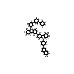 c1ccc(-c2cccc(-c3cccc(-n4c5ccccc5c5cc(-c6ccc7c(c6)c6ccccc6n7-c6ccc(-c7ccc8ccccc8c7)cc6)ccc54)c3)n2)cc1